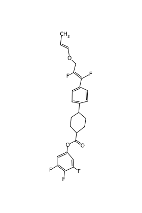 C/C=C/OC/C(F)=C(\F)c1ccc(C2CCC(C(=O)Oc3cc(F)c(F)c(F)c3)CC2)cc1